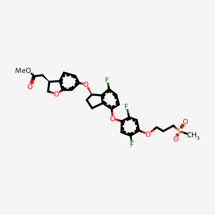 COC(=O)C[C@@H]1COc2cc(O[C@@H]3CCc4c(Oc5cc(F)c(OCCCS(C)(=O)=O)cc5F)ccc(F)c43)ccc21